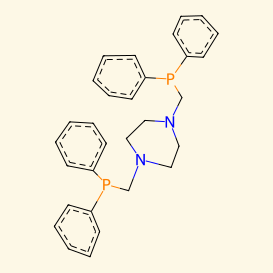 c1ccc(P(CN2CCN(CP(c3ccccc3)c3ccccc3)CC2)c2ccccc2)cc1